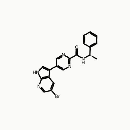 C[C@@H](NC(=O)c1ncc(-c2c[nH]c3ncc(Br)cc23)cn1)c1ccccc1